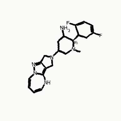 CN1CC(N2Cc3nn4c(c3C2)NC=CC=C4)CC(N)[C@H]1C1CC(F)=CC=C1F